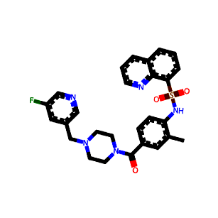 Cc1cc(C(=O)N2CCN(Cc3cncc(F)c3)CC2)ccc1NS(=O)(=O)c1cccc2cccnc12